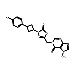 Cn1cnc2ncn(Cc3nn(C4CC(c5ccc(Cl)cc5)C4)c(=O)o3)c(=O)c21